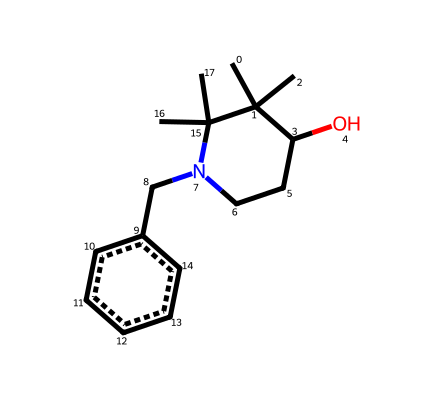 CC1(C)C(O)CCN(Cc2ccccc2)C1(C)C